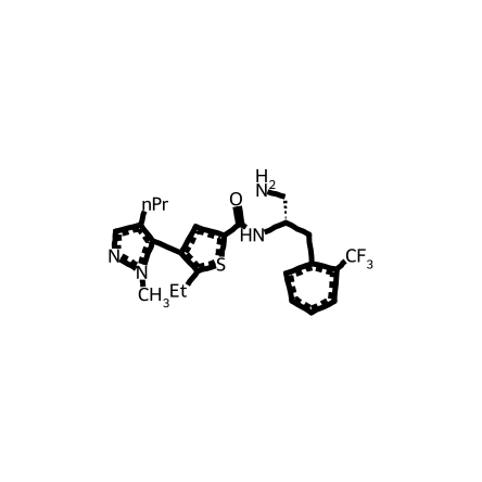 CCCc1cnn(C)c1-c1cc(C(=O)N[C@H](CN)Cc2ccccc2C(F)(F)F)sc1CC